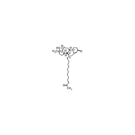 CC(=O)SCCCCCCCCC[C@@H]1CC2=CC(=O)CC[C@]2(C)[C@H]2CC[C@@]3(C)[C@@H](CC[C@]3(C)O)[C@H]12